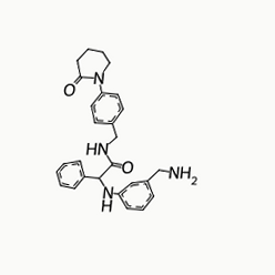 NCc1cccc(NC(C(=O)NCc2ccc(N3CCCCC3=O)cc2)c2ccccc2)c1